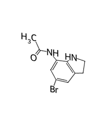 CC(=O)Nc1cc(Br)cc2c1NCC2